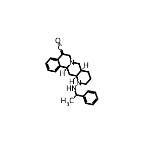 C[C@@H](NN1CCC[C@@H]2CN3CC(=C=O)c4ccccc4[C@H]3C[C@@H]21)c1ccccc1